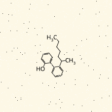 CCCCCC(C)c1ccccc1-c1ccccc1O